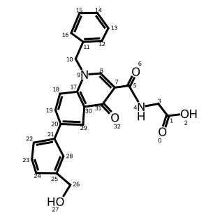 O=C(O)CNC(=O)c1cn(Cc2ccccc2)c2ccc(-c3cccc(CO)c3)cc2c1=O